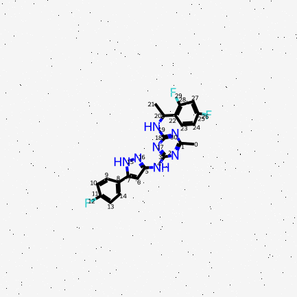 Cc1nc(Nc2cc(-c3ccc(F)cc3)[nH]n2)nc(NC(C)c2ccc(F)cc2F)n1